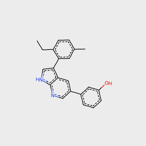 CCc1ccc(C)cc1-c1c[nH]c2ncc(-c3cccc(O)c3)cc12